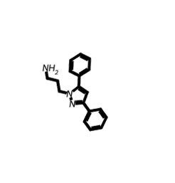 NCCCn1nc(-c2ccccc2)cc1-c1ccccc1